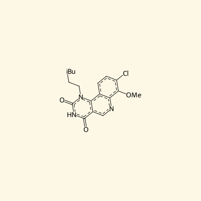 CCC(C)CCn1c(=O)[nH]c(=O)c2cnc3c(OC)c(Cl)ccc3c21